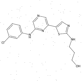 OCCCNc1ncc(-c2cncc(Nc3cccc(Cl)c3)n2)s1